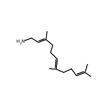 CC(C)=CCCC(C)=CCCC(C)=CCN